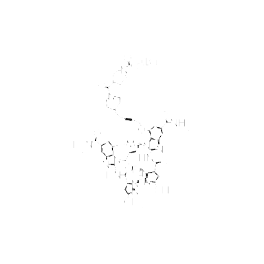 CCn1nc(C)cc1C(=O)Nc1nc2cc(C(N)=O)cc(OC)c2n1C/C=C/Cn1c(NC(=O)c2cc(C)nn2CC)nc2cc(C(N)=O)cc(OCC#CCC3CCN(C(=O)C4CCN(C(=O)OC(C)(C)C)CC4)CC3)c21